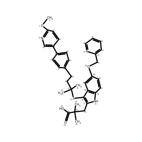 COc1ccc(-c2ccc(CCC(C)(C)Sc3c(CC(C)(C)C(=O)O)[nH]c4ccc(OCc5ccccn5)cc34)cc2)cn1